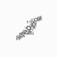 CC1C=C(OC(F)(F)F)C=CC1Nc1cc(-c2cccc(C(=O)N3CCN(c4ncc(C(F)(F)F)cn4)CC3)c2)ncn1